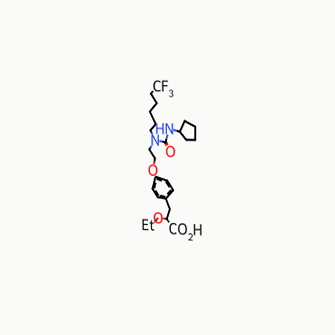 CCOC(Cc1ccc(OCCN(CCCCCC(F)(F)F)C(=O)NC2CCCC2)cc1)C(=O)O